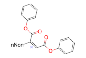 CCCCCCCCC/C(=C/C(=O)Oc1ccccc1)C(=O)Oc1ccccc1